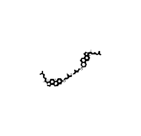 CC(C)CCC[C@@H](C)[C@H]1CCC2C3CC=C4CC(OCCC(I)COCC(I)CCOC5CC[C@@]6(C)C(=CCC7C6CC[C@@]6(C)C7CC[C@@H]6[C@H](C)CCCC(C)C)C5)CC[C@]4(C)C3CC[C@@]21C